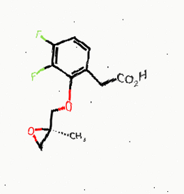 C[C@]1(COc2c(CC(=O)O)ccc(F)c2F)CO1